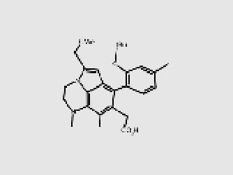 COCc1cc2c(-c3ccc(C)cc3OC(C)(C)C)c(CC(=O)O)c(C)c3c2n1CCN3C